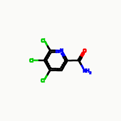 NC(=O)c1cc(Cl)c(Cl)c(Cl)n1